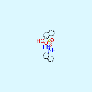 O=S(=O)(ONNc1cccc2ccccc12)c1c(O)ccc2ccccc12